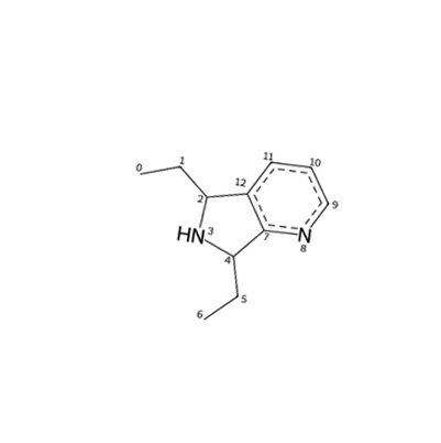 CCC1NC(CC)c2ncccc21